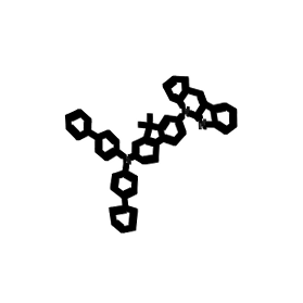 CC1(C)c2cc(N(c3ccc(-c4ccccc4)cc3)c3ccc(-c4ccccc4)cc3)ccc2-c2ccc(-n3c4nc5ccccc5c-4cc4ccccc43)cc21